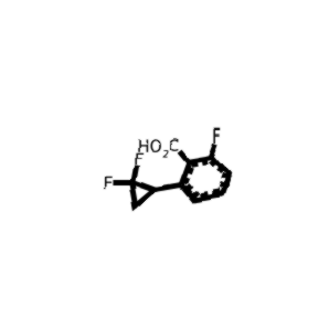 O=C(O)c1c(F)cccc1C1CC1(F)F